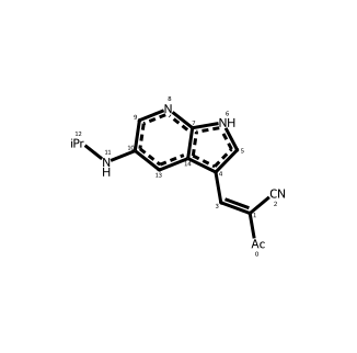 CC(=O)/C(C#N)=C/c1c[nH]c2ncc(NC(C)C)cc12